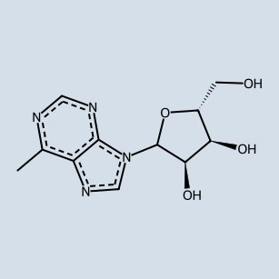 Cc1ncnc2c1ncn2C1O[C@H](CO)[C@@H](O)[C@H]1O